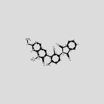 CSc1ncc2cc(-c3c(Cl)ccc(N4C(=O)c5ccccc5C4=O)c3Cl)c(=O)n(C)c2n1